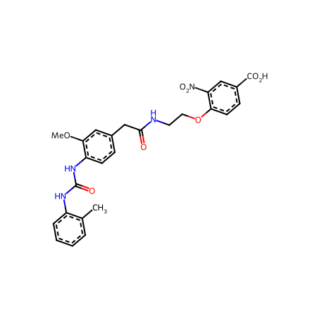 COc1cc(CC(=O)NCCOc2ccc(C(=O)O)cc2[N+](=O)[O-])ccc1NC(=O)Nc1ccccc1C